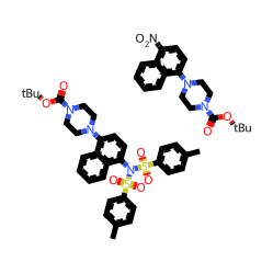 CC(C)(C)OC(=O)N1CCN(c2ccc([N+](=O)[O-])c3ccccc23)CC1.Cc1ccc(S(=O)(=O)N(c2ccc(N3CCN(C(=O)OC(C)(C)C)CC3)c3ccccc23)S(=O)(=O)c2ccc(C)cc2)cc1